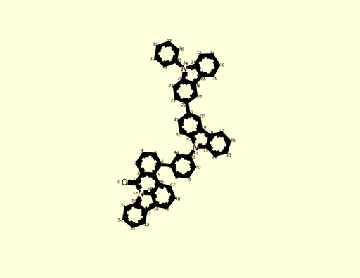 O=c1c2cccc(-c3cccc(-n4c5ccccc5c5cc(-c6ccc7c(c6)c6ccccc6n7-c6ccccc6)ccc54)c3)c2c2cccc3c4ccccc4n1c32